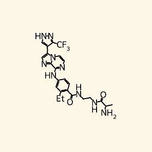 CCc1cc(Nc2nccn3c(-c4c[nH]nc4C(F)(F)F)cnc23)ccc1C(=O)NCCNC(=O)C(C)N